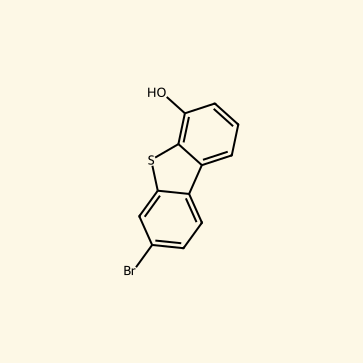 Oc1cccc2c1sc1cc(Br)ccc12